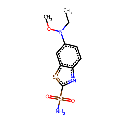 CCN(OC)c1ccc2nc(S(N)(=O)=O)sc2c1